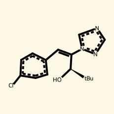 CC(C)(C)[C@@H](O)/C(=C\c1ccc(Cl)cc1)n1cncn1